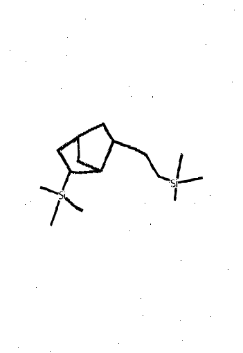 C[Si](C)(C)CCC1CC2CC1C([Si](C)(C)C)C2